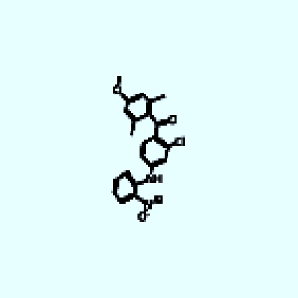 COc1cc(C)c(C(=O)c2ccc(Nc3ccccc3[N+](=O)[O-])cc2Cl)c(C)c1